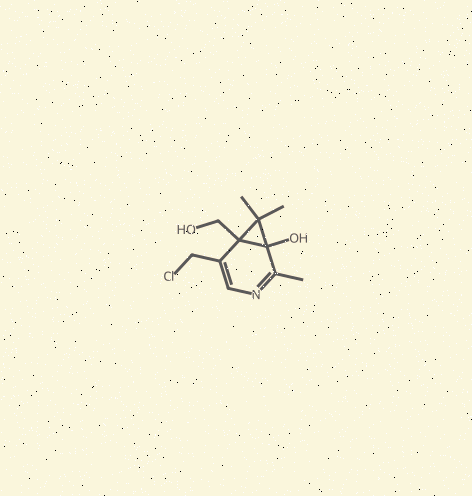 CC1=NC=C(CCl)C2(CO)C(C)(C)C12O